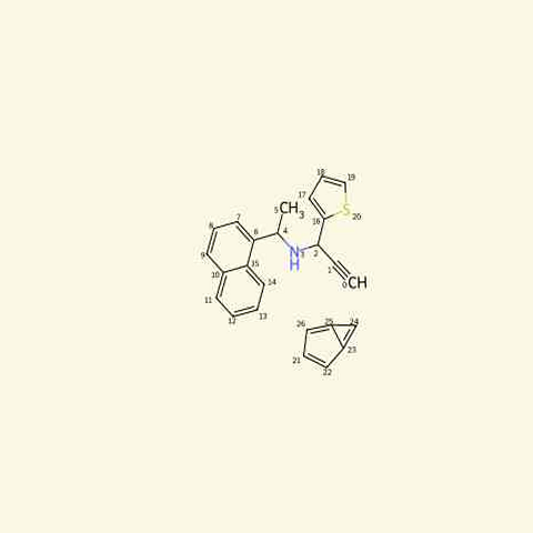 C#CC(NC(C)c1cccc2ccccc12)c1cccs1.c1cc2cc-2c1